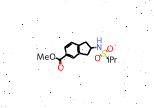 COC(=O)c1ccc2c(c1)CC(NS(=O)(=O)C(C)C)C2